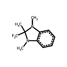 CN1c2ccccc2N(C)C1(C)C(F)(F)F